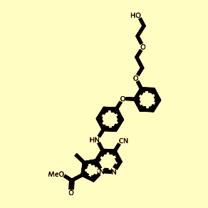 COC(=O)c1cn2ncc(C#N)c(Nc3ccc(Oc4ccccc4OCCOCCO)cc3)c2c1C